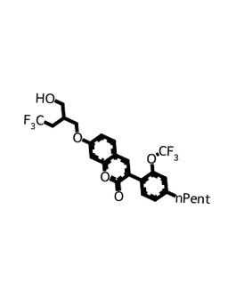 CCCCCc1ccc(-c2cc3ccc(OCC(CO)CC(F)(F)F)cc3oc2=O)c(OC(F)(F)F)c1